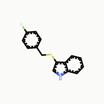 Fc1ccc(CSc2c[nH]c3ccccc23)cc1